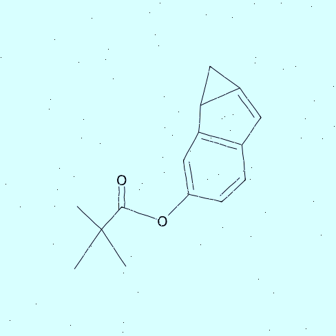 CC(C)(C)C(=O)Oc1ccc2c(c1)C1CC1=C2